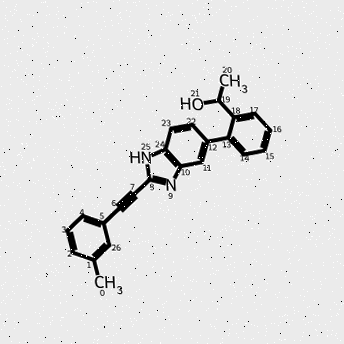 Cc1cccc(C#Cc2nc3cc(-c4ccccc4C(C)O)ccc3[nH]2)c1